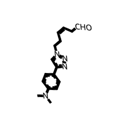 CN(C)c1ccc(-c2cn(CC/C=C\CC=O)nn2)cc1